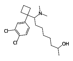 CC(O)CCCCCC(N(C)C)C1(c2ccc(Cl)c(Cl)c2)CCC1